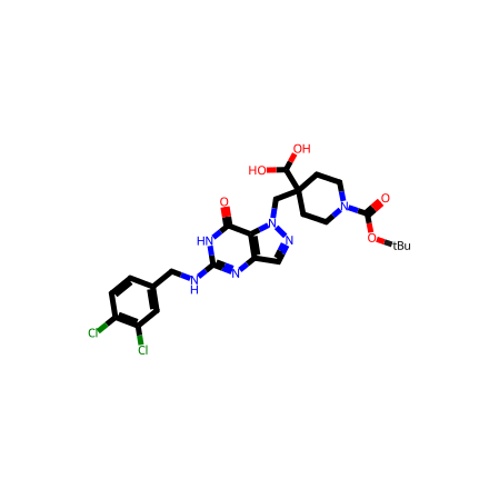 CC(C)(C)OC(=O)N1CCC(Cn2ncc3nc(NCc4ccc(Cl)c(Cl)c4)[nH]c(=O)c32)(C(O)O)CC1